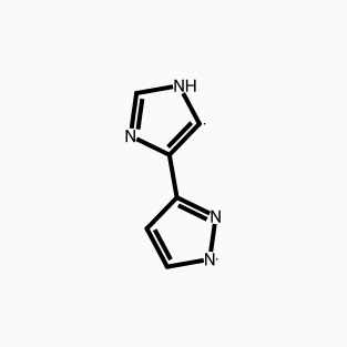 [c]1[nH]cnc1C1=N[N]C=C1